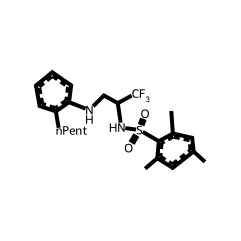 CCCCCc1ccccc1NCC(NS(=O)(=O)c1c(C)cc(C)cc1C)C(F)(F)F